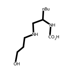 CCCCC(CNCCCO)NC(=O)O